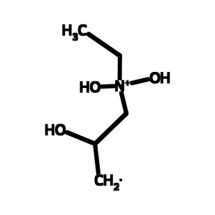 [CH2]C(O)C[N+](O)(O)CC